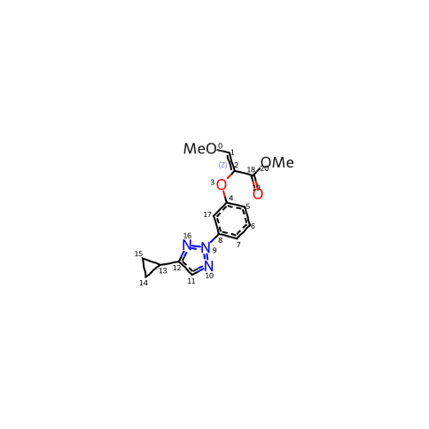 CO/C=C(\Oc1cccc(-n2ncc(C3CC3)n2)c1)C(=O)OC